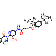 CCC(C)(C)c1ccc(OCCCC(=O)Nc2cnc(NC(=O)c3ccccc3Cl)c(O)c2)c(C(C)(C)CC)c1